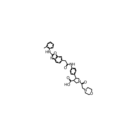 Cc1ccccc1Nc1nc2ccc(CC(=O)Nc3ccc(C4CN(C(=O)CN5CCOCC5)CC4C(=O)O)cc3)cc2o1